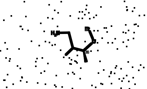 CCO[C@@H](C)C(C)CN